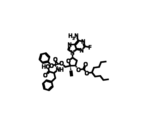 C#C[C@]1(CO[P@@](=O)(NC(Cc2ccccc2)C(=O)O)Oc2ccccc2)O[C@@H](n2cnc3c(N)nc(F)nc32)C[C@@H]1OC(=O)OC(CCCC)CCCC